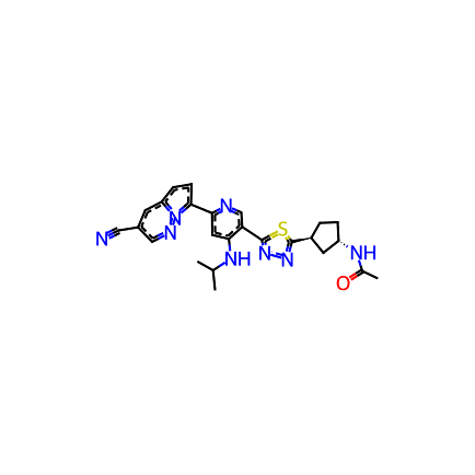 CC(=O)N[C@H]1CC[C@H](c2nnc(-c3cnc(-c4ccc5cc(C#N)cnn45)cc3NC(C)C)s2)C1